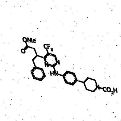 COC(=O)CC(Cc1ccccc1)c1nc(Nc2ccc(C3CCN(C(=O)O)CC3)cc2)ncc1C(F)(F)F